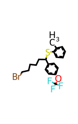 Cc1ccccc1SC(CCCCCBr)c1ccc(OC(F)(F)F)cc1